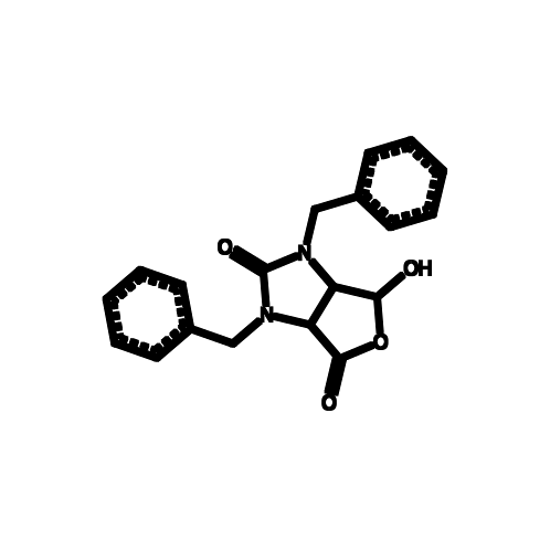 O=C1OC(O)C2C1N(Cc1ccccc1)C(=O)N2Cc1ccccc1